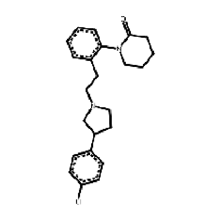 O=C1CCCCN1c1ccccc1CCN1CCC(c2ccc(Cl)cc2)C1